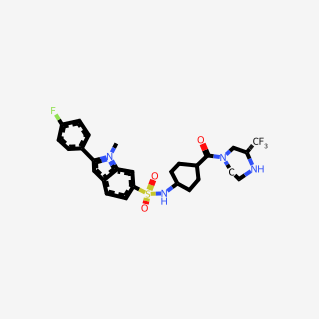 Cn1c(-c2ccc(F)cc2)cc2ccc(S(=O)(=O)NC3CCC(C(=O)N4CCNC(C(F)(F)F)C4)CC3)cc21